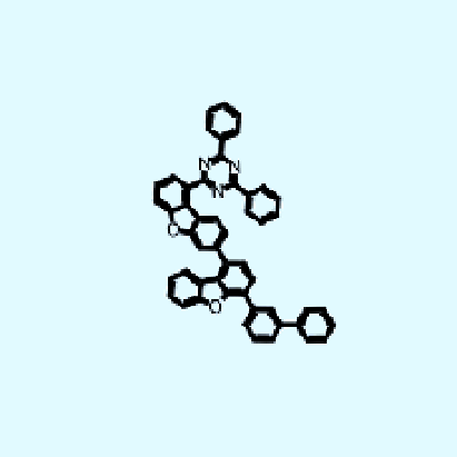 c1ccc(-c2cccc(-c3ccc(-c4ccc5c(c4)oc4cccc(-c6nc(-c7ccccc7)nc(-c7ccccc7)n6)c45)c4c3oc3ccccc34)c2)cc1